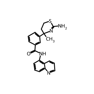 CC1(c2cccc(C(=O)Nc3cccc4ncccc34)c2)CCSC(N)=N1